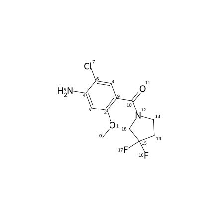 COc1cc(N)c(Cl)cc1C(=O)N1CCC(F)(F)C1